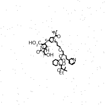 CCC(C)(C)C(=O)C(=O)N1CCCC[C@H]1C(=O)O[C@H](CCc1cccnc1)COCCCN1C[C@@H](SC2=C(C(=O)O)N3C(=O)[C@H]([C@@H](C)O)[C@H]3[C@H]2C)C[C@H]1C(=O)N(C)C